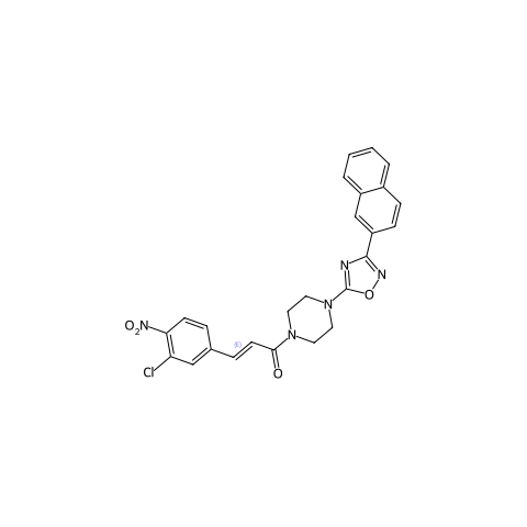 O=C(/C=C/c1ccc([N+](=O)[O-])c(Cl)c1)N1CCN(c2nc(-c3ccc4ccccc4c3)no2)CC1